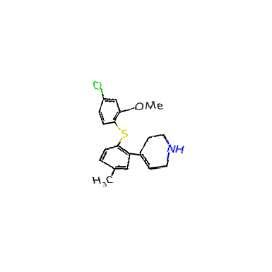 COc1cc(Cl)ccc1Sc1ccc(C)cc1C1=CCNCC1